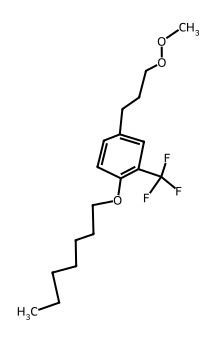 CCCCCCCOc1ccc(CCCOOC)cc1C(F)(F)F